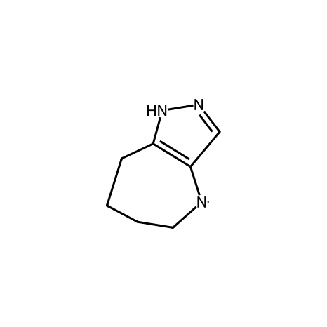 c1n[nH]c2c1[N]CCCC2